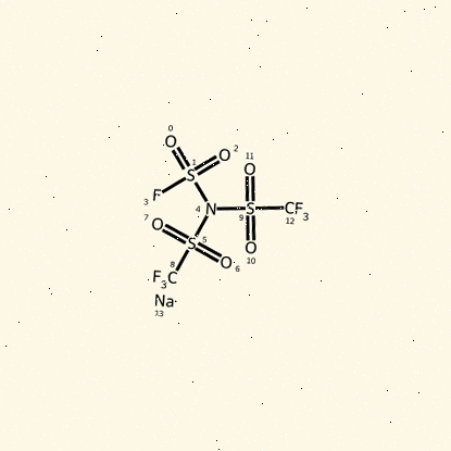 O=S(=O)(F)N(S(=O)(=O)C(F)(F)F)S(=O)(=O)C(F)(F)F.[Na]